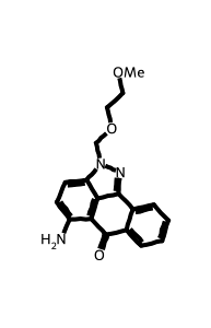 COCCOCn1nc2c3c(c(N)ccc31)C(=O)c1ccccc1-2